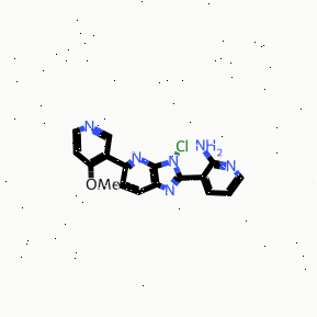 COc1ccncc1-c1ccc2nc(-c3cccnc3N)n(Cl)c2n1